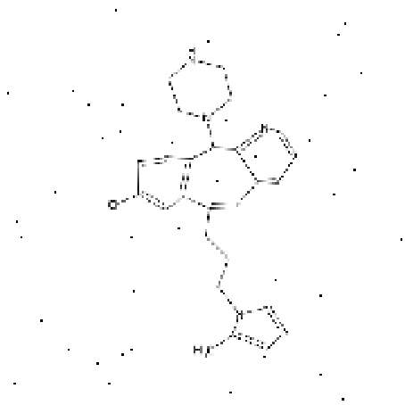 Cc1cncn1CCCC1=Cc2cccnc2C(N2CCNCC2)c2ccc(Cl)cc21